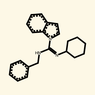 c1ccc(CN/C(=N/C2CCCCC2)n2ccc3ccccc32)cc1